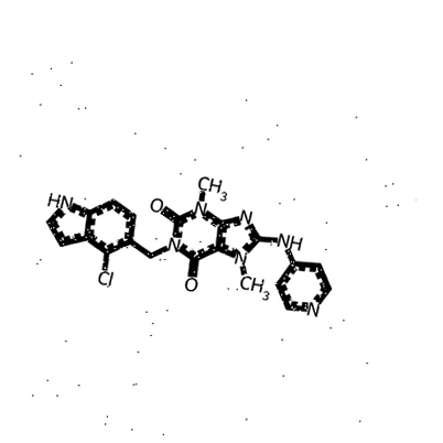 Cn1c(Nc2ccncc2)nc2c1c(=O)n(Cc1ccc3[nH]ccc3c1Cl)c(=O)n2C